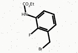 CCOC(=O)Nc1cccc(CBr)c1F